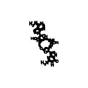 Nc1nc2c(ncn2[C@@H]2OC3C[C@H]2OP(=O)(O)OC[C@H]2O[C@@H](n4ccc5c(N)ncnc54)[C@H](O)[C@@H]2CCO3)c(=O)[nH]1